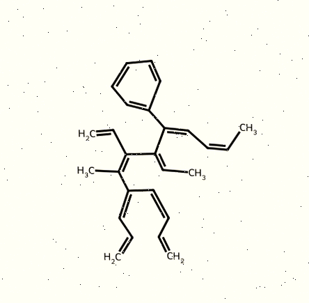 C=C\C=C/C(=C\C=C)C(/C)=C(C=C)\C(=C\C)C(=C/C=C\C)\c1ccccc1